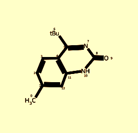 Cc1ccc2c(C(C)(C)C)nc(=O)[nH]c2c1